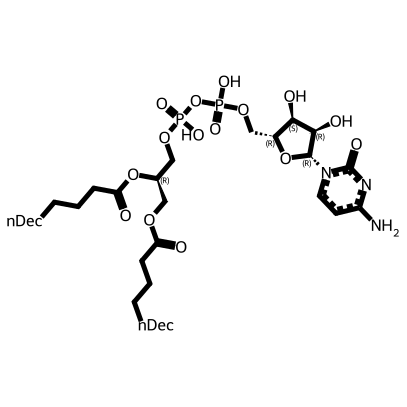 CCCCCCCCCCCCCC(=O)OC[C@H](COP(=O)(O)OP(=O)(O)OC[C@H]1O[C@@H](n2ccc(N)nc2=O)[C@H](O)[C@@H]1O)OC(=O)CCCCCCCCCCCCC